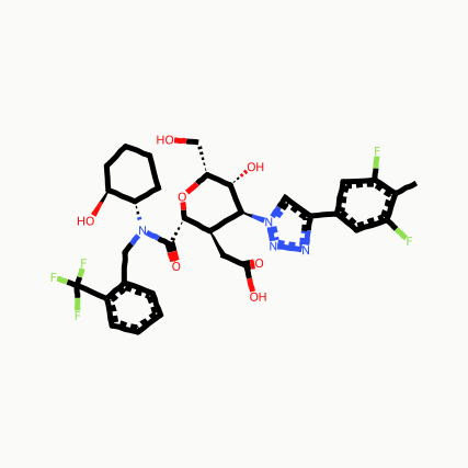 Cc1c(F)cc(-c2cn([C@@H]3[C@@H](O)[C@@H](CO)O[C@@H](C(=O)N(Cc4ccccc4C(F)(F)F)[C@H]4CCCC[C@@H]4O)[C@@H]3CC(=O)O)nn2)cc1F